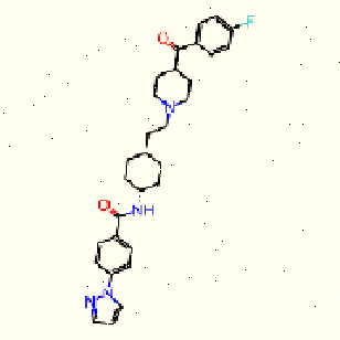 O=C(N[C@H]1CC[C@H](CCN2CCC(C(=O)c3ccc(F)cc3)CC2)CC1)c1ccc(-n2cccn2)cc1